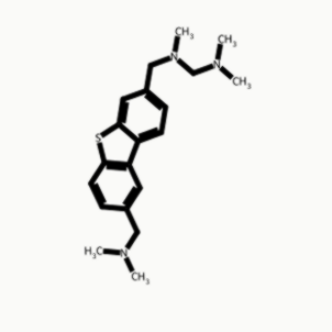 CN(C)Cc1ccc2sc3cc(CN(C)CN(C)C)ccc3c2c1